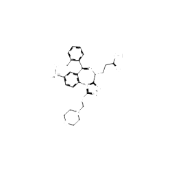 O=C(O)CC[C@@H]1N=C(c2ccccc2Cl)c2cc([N+](=O)[O-])ccc2-n2c(SCN3CCOCC3)nnc21